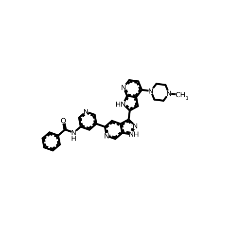 CN1CCN(c2ccnc3[nH]c(-c4n[nH]c5cnc(-c6cncc(NC(=O)c7ccccc7)c6)cc45)cc23)CC1